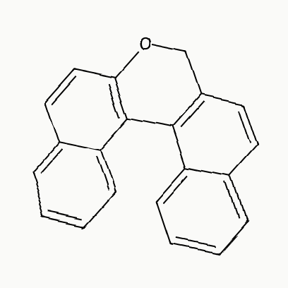 c1ccc2c3c(ccc2c1)COc1ccc2ccccc2c1-3